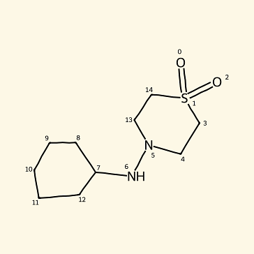 O=S1(=O)CCN(NC2CCCCC2)CC1